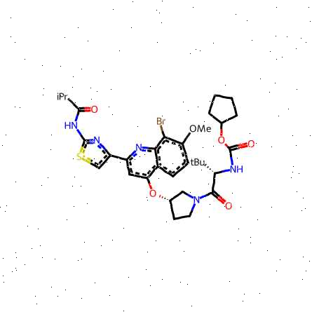 COc1ccc2c(O[C@H]3CCN(C(=O)[C@@H](NC(=O)OC4CCCC4)C(C)(C)C)C3)cc(-c3csc(NC(=O)C(C)C)n3)nc2c1Br